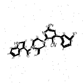 CC(C)c1cc(-c2cccc(F)c2)c(C#N)c(N2CCN(C(=O)c3c[nH]c4ccccc34)C(C)C2)n1